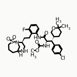 COC(=O)N[C@H](C(=O)Nc1cccc(F)c1CC[C@H]1CN[C@@H]2CCCS(=O)(=O)N1C2)[C@@H](c1ccc(Cl)cc1)C1CCC(C)(C)OC1